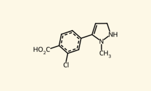 CN1NCC=C1c1ccc(C(=O)O)c(Cl)c1